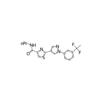 CCCNC(=O)c1csc(-c2cnn(-c3cccc(C(C)(F)F)c3)c2)n1